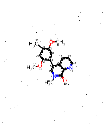 COc1cc(-c2cn(C)c(=O)c3ncccc23)c(OC)cc1C